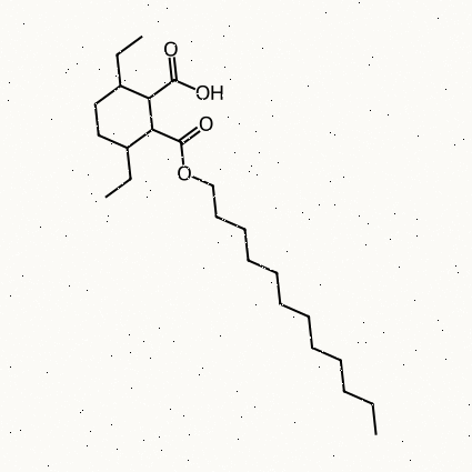 CCCCCCCCCCCCOC(=O)C1C(CC)CCC(CC)C1C(=O)O